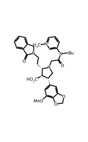 CCCCN(C(=O)CN1C[C@H](c2cc(OC)c3c(c2)OCO3)[C@@H](C(=O)O)[C@@H]1CCN1Cc2ccccc2C1=O)c1ccc[n+](C)c1